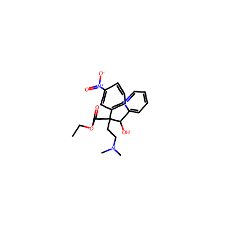 CCOC(=O)C(CCN(C)C)(c1cccc([N+](=O)[O-])c1)C(O)c1ccccn1